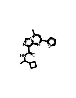 Cc1cc(-c2cccs2)nc2c(C(=O)NC(C)C3CCC3)ncn12